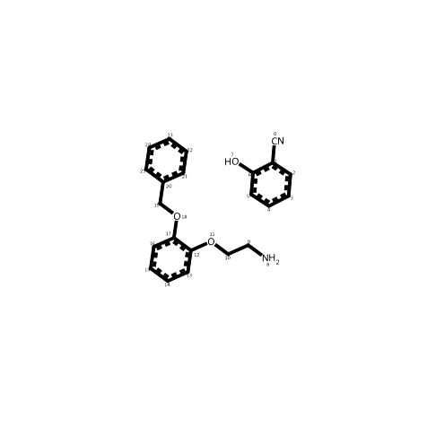 N#Cc1ccccc1O.NCCOc1ccccc1OCc1ccccc1